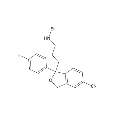 CCNCCCC1(c2ccc(F)cc2)OCc2cc(C#N)ccc21